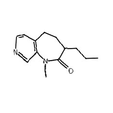 CCCC1CCc2ccncc2N(C)C1=O